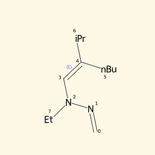 C=NN(/C=C(\CCCC)C(C)C)CC